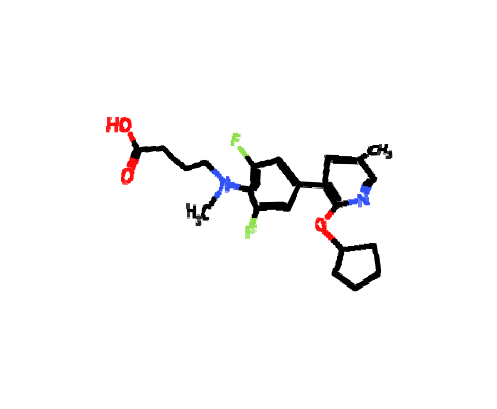 Cc1cnc(OC2CCCC2)c(-c2cc(F)c(N(C)CCCC(=O)O)c(F)c2)c1